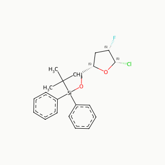 CC(C)(C)[Si](OC[C@@H]1C[C@H](F)[C@H](Cl)O1)(c1ccccc1)c1ccccc1